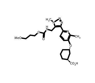 COCCCOC(=O)NCc1c(-c2ccc(O[C@H]3CCC[C@H](C(=O)O)C3)c(C)n2)nnn1C